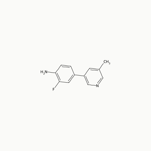 Cc1cncc(-c2ccc(N)c(F)c2)c1